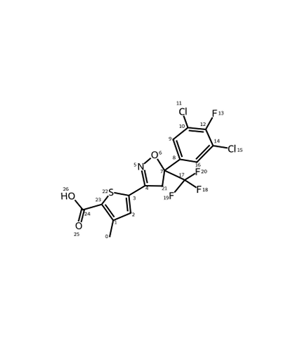 Cc1cc(C2=NOC(c3cc(Cl)c(F)c(Cl)c3)(C(F)(F)F)C2)sc1C(=O)O